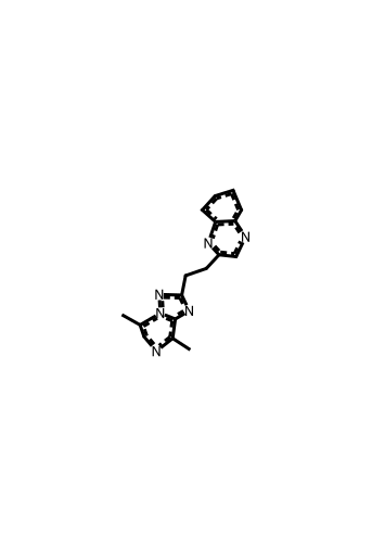 Cc1ncc(C)n2nc(CCc3cnc4ccccc4n3)nc12